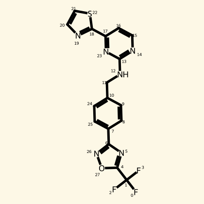 FC(F)(F)c1nc(-c2ccc(CNc3nccc(-c4nccs4)n3)cc2)no1